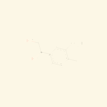 Cc1ccc(C(O)CO)cc1C(=O)O